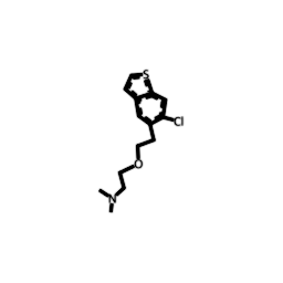 CN(C)CCOCCc1cc2ccsc2cc1Cl